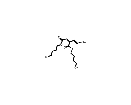 CCCCCCCCCCC=CC(CC(=O)OCCCCO)C(=O)OCCCCO